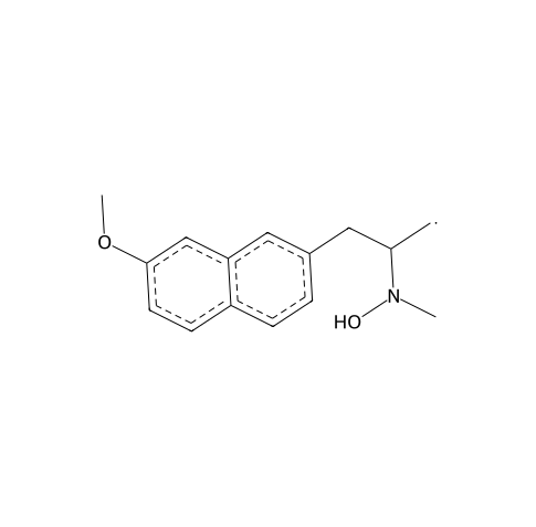 [CH2]C(Cc1ccc2ccc(OC)cc2c1)N(C)O